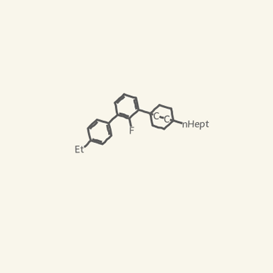 CCCCCCCC12CCC(c3cccc(-c4ccc(CC)cc4)c3F)(CC1)CC2